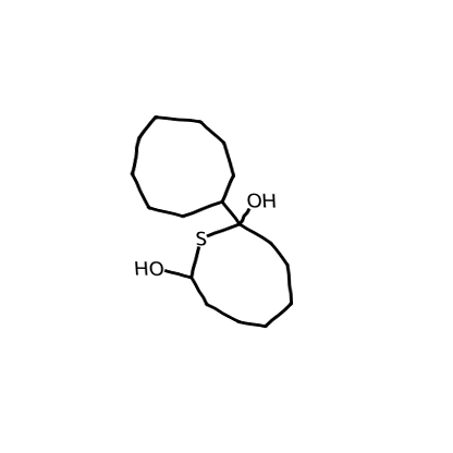 OC1CCCCCCC(O)(C2CCCCCCCC2)S1